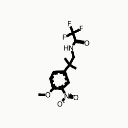 COc1ccc(C(C)(C)CNC(=O)C(F)(F)F)cc1[N+](=O)[O-]